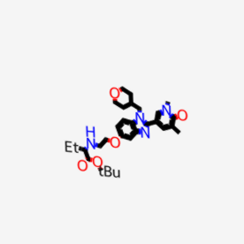 CCC(NCCOc1ccc2c(c1)nc(-c1cc(C)c(=O)n(C)c1)n2CC1CCOCC1)C(=O)OC(C)(C)C